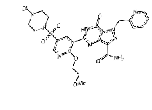 CCN1CCN(S(=O)(=O)c2cnc(OCCOC)c(-c3nc4c(C(N)=O)nn(Cc5ccccn5)c4c(=O)[nH]3)c2)CC1